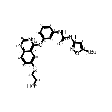 CC(C)(C)c1cc(NC(=O)Nc2cccc(Oc3ncnc4ccc(OCCO)cc34)c2)no1